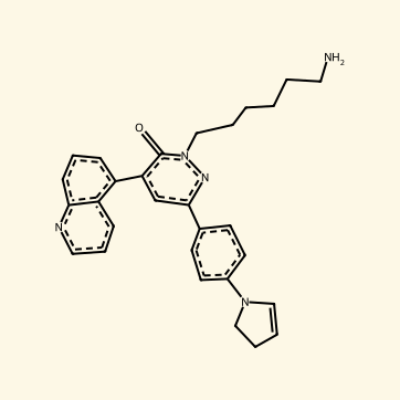 NCCCCCCn1nc(-c2ccc(N3C=CCC3)cc2)cc(-c2cccc3ncccc23)c1=O